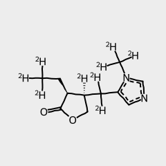 [2H]C([2H])([2H])C[C@@H]1C(=O)OC[C@]1([2H])C([2H])([2H])c1cncn1C([2H])([2H])[2H]